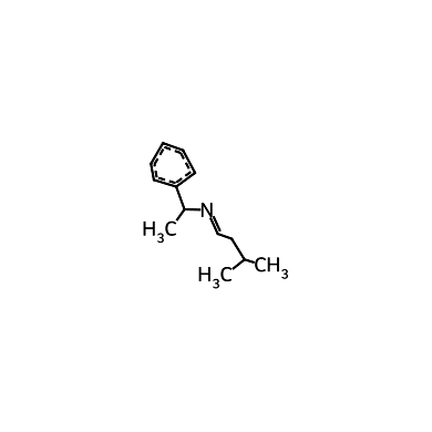 CC(C)CC=NC(C)c1ccccc1